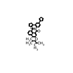 CC(C)C(Oc1cc2c3c(cccc3c1)C(=O)N(c1ccc(C3=CCC=C3)cc1C1=CC=CC1)C2=O)C(C)C